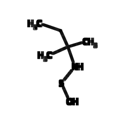 CCC(C)(C)NSO